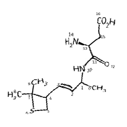 CC(/C=C/C1CSC1(C)C)NC(=O)[C@@H](N)CC(=O)O